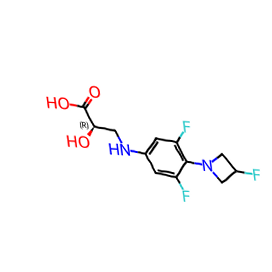 O=C(O)[C@H](O)CNc1cc(F)c(N2CC(F)C2)c(F)c1